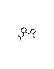 O=C(I)Cc1ccccc1Cn1cncc1Cl